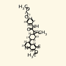 COCCOc1ccc(NC(=O)C2C(C)C23CCC(c2ccnc4cc(OC)c(F)cc24)CC3)cc1